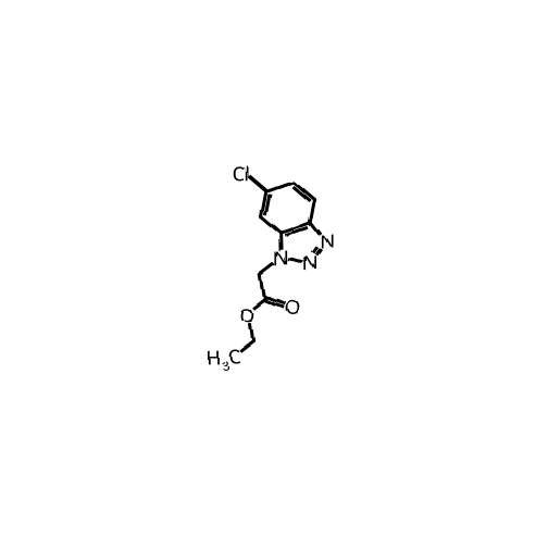 CCOC(=O)Cn1nnc2ccc(Cl)cc21